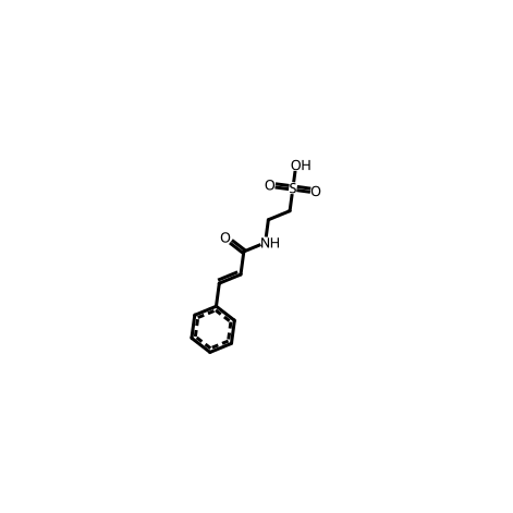 O=C(C=Cc1ccccc1)NCCS(=O)(=O)O